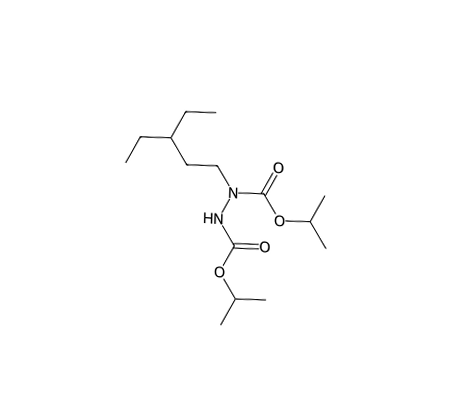 CCC(CC)CCN(NC(=O)OC(C)C)C(=O)OC(C)C